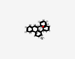 [Ir].c1ccc(-c2cccc3c2c(-c2ccccc2)cc2ccccc23)cc1